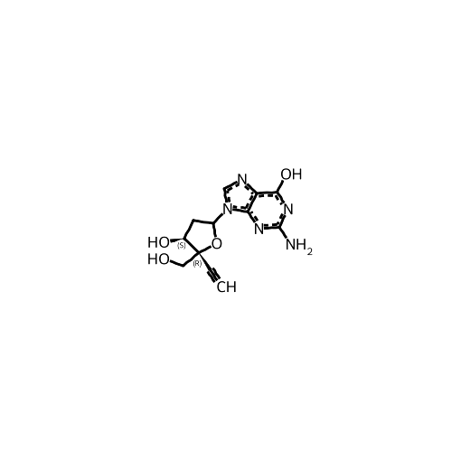 C#C[C@]1(CO)OC(n2cnc3c(O)nc(N)nc32)C[C@@H]1O